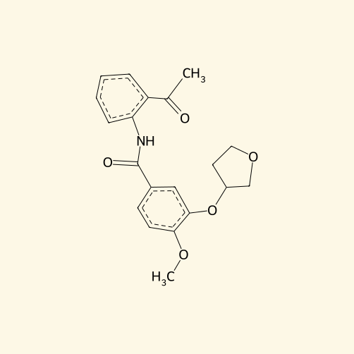 COc1ccc(C(=O)Nc2ccccc2C(C)=O)cc1OC1CCOC1